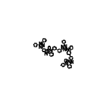 O=c1n(-c2ccccc2)c2ccccc2c2nc3ccc(-c4ccc5c(c4)c4ccccc4n5-c4nc(-c5ccccc5)nc(-c5cccc(-c6cccc(-n7c(=O)n8c9cc(-c%10nc(-c%11ccccc%11)nc(-c%11ccccc%11)n%10)ccc9nc8c8ccccc87)c6)c5)n4)cc3n12